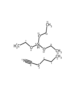 CCCSC#N.CCO[SiH](OCC)OCC